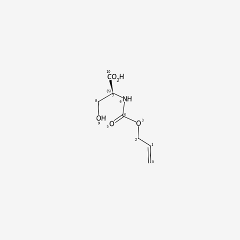 C=CCOC(=O)N[C@@H](CO)C(=O)O